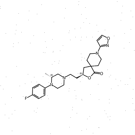 C[C@@H]1CN(CC[C@H]2CC3(CCN(c4ccon4)CC3)C(=O)O2)CCN1c1ccc(F)cc1